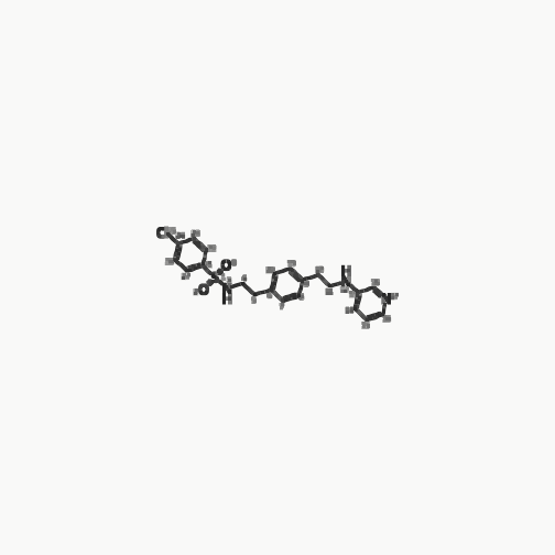 O=S(=O)(NCCc1ccc(CCNc2cccnc2)cc1)c1ccc(Cl)cc1